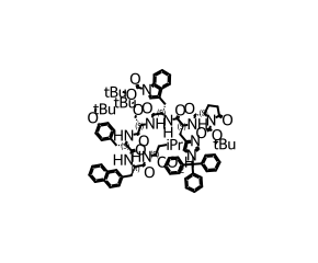 CC(C)C[C@H](NC(=O)[C@@H](Cc1ccc2ccccc2c1)NC(=O)[C@H](Cc1ccc(OC(C)(C)C)cc1)NC(=O)[C@H](COC(C)(C)C)NC(=O)[C@H](Cc1cn(C(=O)OC(C)(C)C)c2ccccc12)NC(=O)[C@H](Cc1cn(C(c2ccccc2)(c2ccccc2)c2ccccc2)cn1)NC(=O)[C@@H]1CCC(=O)N1C(=O)OC(C)(C)C)C(=O)O